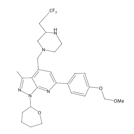 COCOc1ccc(-c2cc(CN3CCNC(CC(F)(F)F)C3)c3c(C)nn(C4CCCCO4)c3n2)cc1